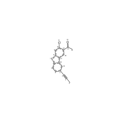 CC#Cc1ccc2sc3cc(Cl)c(C(C)=O)cc3c2c1